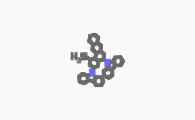 [SiH3]c1cc(-n2c3ccccc3c3ccccc32)cc2c(-n3c4ccccc4c4ccccc43)cc3cc4ccccc4cc3c12